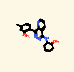 Cc1ccc(-c2nnc(NC3CCCCC3O)c3cccnc23)c(O)c1